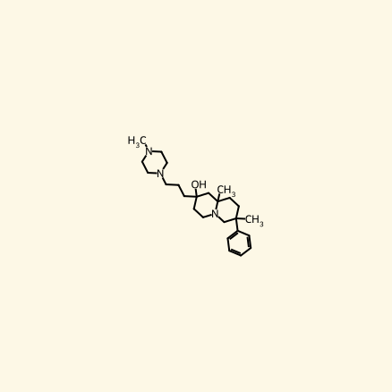 CN1CCN(CCCC2(O)CCN3CC(C)(c4ccccc4)CCC3(C)C2)CC1